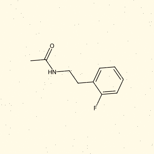 CC(=O)N[CH]Cc1ccccc1F